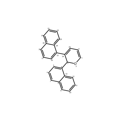 C1=COC(c2cccc3ccccc23)C(c2cccc3ccccc23)=C1